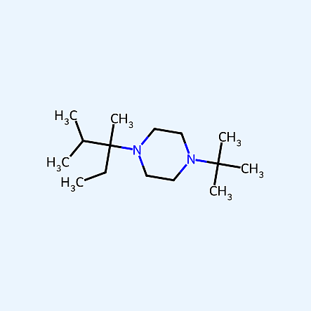 CCC(C)(C(C)C)N1CCN(C(C)(C)C)CC1